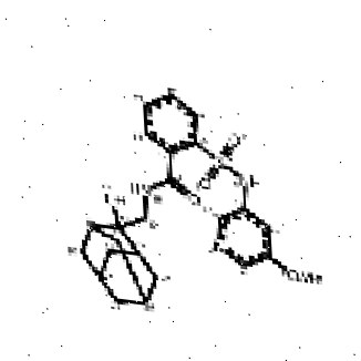 COc1cncc(NS(=O)(=O)c2ccccc2C(=O)NCC2(O)C3CC4CC(C3)CC2C4)c1